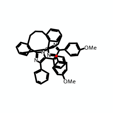 COc1ccc(C2=NC3(N=C2c2ccc(OC)cc2)c2cc4ccc2CCCc2ccc(cc2-c2nc(-c5ccccc5)c(-c5ccccc5)n23)CCC4)cc1